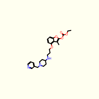 CCOC(=O)Oc1oc2cccc(OCCCNC3CCN(Cc4cccnc4)CC3)c2c1C